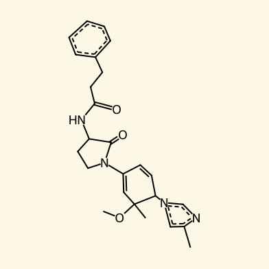 COC1(C)C=C(N2CCC(NC(=O)CCc3ccccc3)C2=O)C=CC1n1cnc(C)c1